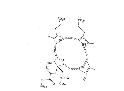 C=CC1=C(C)c2cc3[nH]c(cc4nc(cc5[nH]c(cc1n2)[C@@]1(C)C5=CC=C(C(=O)OCCCCCC)[C@H]1C(=O)OC)C(C)=C4CCC(=O)O)c(CCC(=O)O)c3C